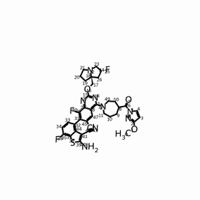 COc1ccn(C(=O)C2CCCN(c3nc(OC[C@@]45CCCN4C[C@H](F)C5)nc4c(F)c(-c5ccc(F)c6sc(N)c(C#N)c56)c(Cl)cc34)CC2)n1